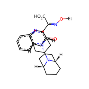 CCO/N=C(\C(=O)O)c1nc2ccccc2n([C@H]2C[C@H]3CCC[C@@H](C2)N3C2C[C@H]3CCC[C@@H](C2)C3)c1=O